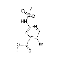 COC(=O)c1cc(NS(C)(=O)=O)ncc1Br